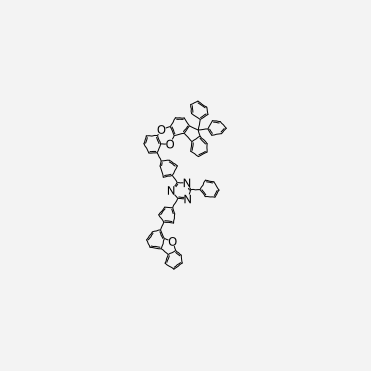 c1ccc(-c2nc(-c3ccc(-c4cccc5c4Oc4c(ccc6c4-c4ccccc4C6(c4ccccc4)c4ccccc4)O5)cc3)nc(-c3ccc(-c4cccc5c4oc4ccccc45)cc3)n2)cc1